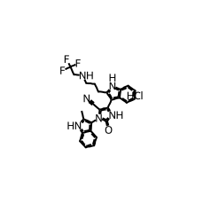 Cc1[nH]c2ccccc2c1-n1c(C#N)c(-c2c(CCCNCC(F)(F)F)[nH]c3ccccc23)[nH]c1=O.Cl